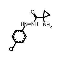 NC1(C(=O)NNc2ccc(Cl)cc2)CC1